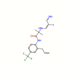 C=CCc1cc(C(F)(F)F)ccc1NC(=O)C(C)(C)N/C=C(/I)C=N